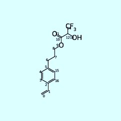 C=Cc1ccc(CCCOC(=O)C(O)C(F)(F)F)cc1